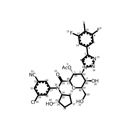 CC(=O)O[C@@H]1[C@@H](n2cc(-c3cc(F)c(C)c(F)c3)nn2)[C@@H](O)[C@@H](CO)O[C@H]1C(=O)N(c1cc(Cl)cc(C#N)c1)[C@H]1CCC[C@@H]1O